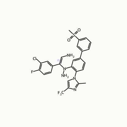 Cc1nc(C(F)(F)F)cn1-c1ccc(-c2cccc(S(C)(=O)=O)c2)cc1N(N)/C(=C\N)c1ccc(F)c(Cl)c1